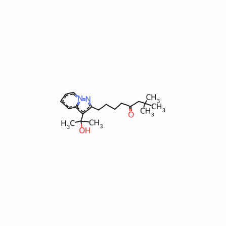 CC(C)(C)CC(=O)CCCCc1nn2ccccc2c1C(C)(C)O